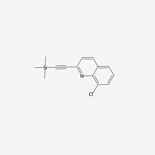 C[Si](C)(C)C#Cc1ccc2cccc(Cl)c2n1